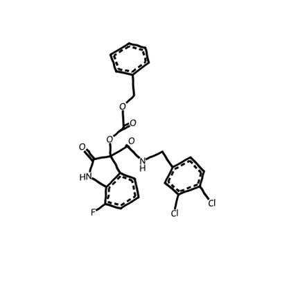 O=C(OCc1ccccc1)OC1(C(=O)NCc2ccc(Cl)c(Cl)c2)C(=O)Nc2c(F)cccc21